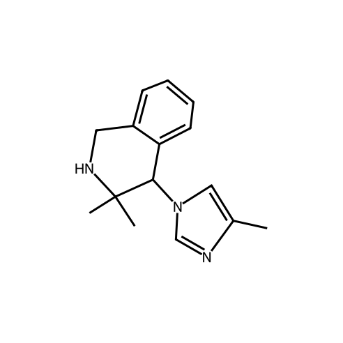 Cc1cn(C2c3ccccc3CNC2(C)C)cn1